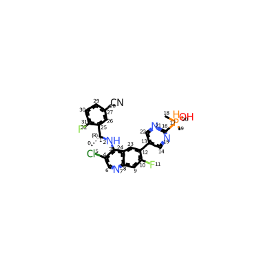 C[C@@H](Nc1c(Cl)cnc2cc(F)c(-c3cnc([PH](C)(C)O)nc3)cc12)c1cc(C#N)ccc1F